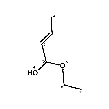 CC=CC(O)OCC